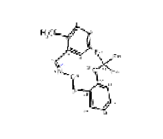 Cc1ccccc1/[C]=N\OCc1ccccc1OC(F)(F)F